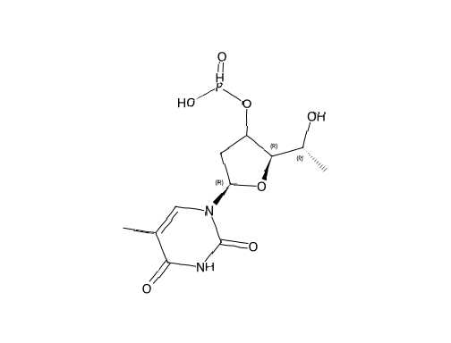 Cc1cn([C@H]2CC(O[PH](=O)O)[C@@H]([C@@H](C)O)O2)c(=O)[nH]c1=O